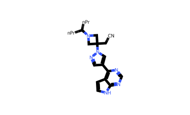 CCCC(CCC)N1CC(CC#N)(n2cc(-c3ncnc4[nH]ccc34)cn2)C1